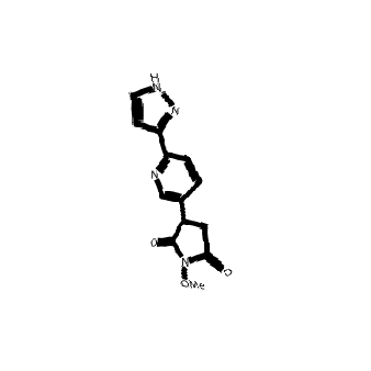 CON1C(=O)CC(c2ccc(-c3cc[nH]n3)nc2)C1=O